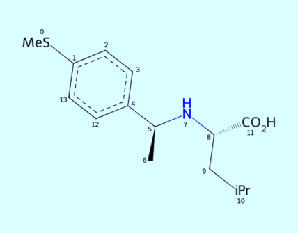 CSc1ccc([C@H](C)N[C@@H](CC(C)C)C(=O)O)cc1